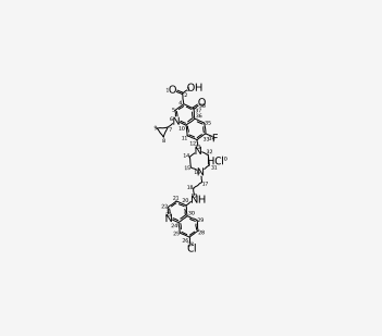 Cl.O=C(O)c1cn(C2CC2)c2cc(N3CCN(CCNc4ccnc5cc(Cl)ccc45)CC3)c(F)cc2c1=O